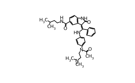 CC(=O)N(CCN(C)C)c1ccc(NC(=C2C(=O)Nc3ccc(C(=O)NCCC(C)C)cc32)c2ccccc2)cc1